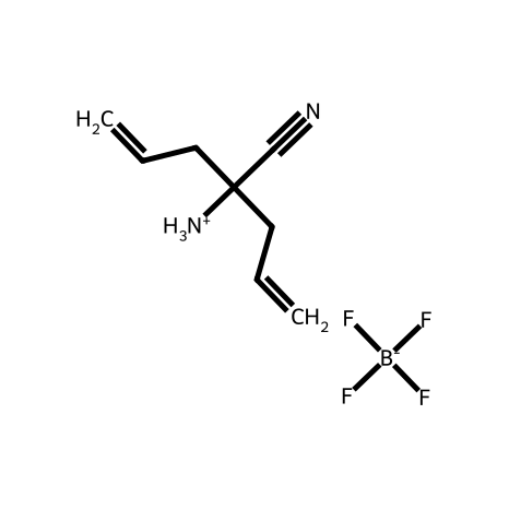 C=CCC([NH3+])(C#N)CC=C.F[B-](F)(F)F